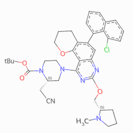 CN1CCC[C@H]1COc1nc(N2CCN(C(=O)OC(C)(C)C)[C@@H](CC#N)C2)c2c3c(c(-c4cccc5cccc(Cl)c45)cc2n1)CCCO3